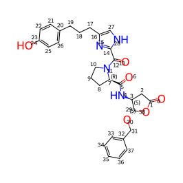 O=C1C[C@H](NC(=O)[C@H]2CCCN2C(=O)c2nc(CCCc3ccc(O)cc3)c[nH]2)[C@@H](OCc2ccccc2)O1